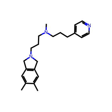 Cc1cc2c(cc1C)CN(CCCN(C)CCCc1ccncc1)C2